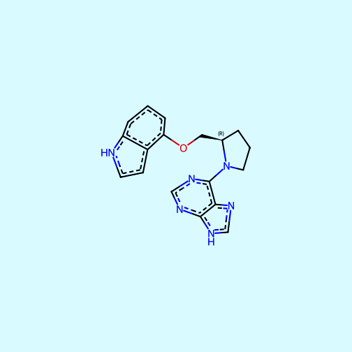 c1cc(OC[C@H]2CCCN2c2ncnc3[nH]cnc23)c2cc[nH]c2c1